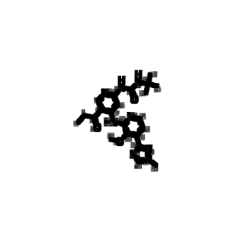 CCC(=O)c1cnc(NC(=O)NC(C)(C)C)cc1Nc1nccc(-c2ncn(C)n2)c1OC